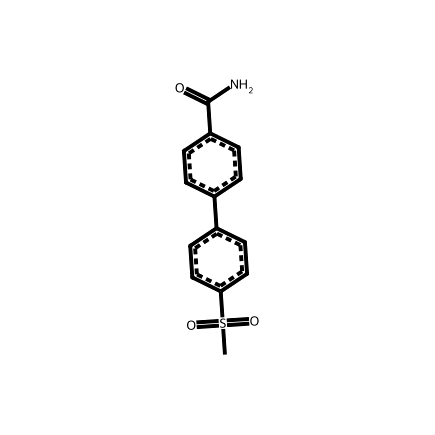 CS(=O)(=O)c1ccc(-c2ccc(C(N)=O)cc2)cc1